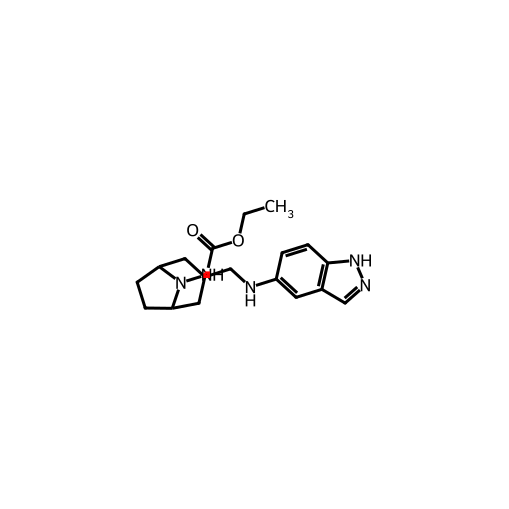 CCOC(=O)NN1C2CCC1CC(CNc1ccc3[nH]ncc3c1)C2